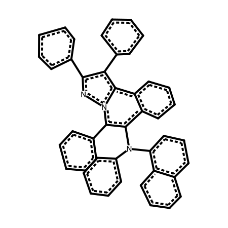 c1ccc(-c2nn3c(-c4ccccc4)c(N(c4ccccc4)c4cccc5ccccc45)c4ccccc4c3c2-c2ccccc2)cc1